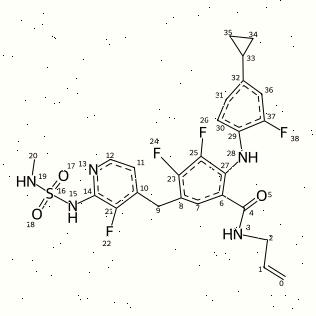 C=CCNC(=O)c1cc(Cc2ccnc(NS(=O)(=O)NC)c2F)c(F)c(F)c1Nc1ccc(C2CC2)cc1F